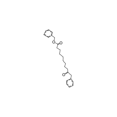 O=C(CCCCCCCCC(=O)OCc1ccccc1)Cc1ccccc1